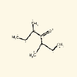 CCC(C)[P](=O)C(C)CC